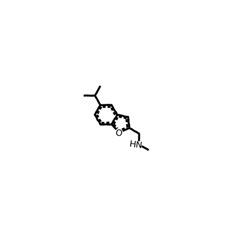 CNCc1cc2cc(C(C)C)ccc2o1